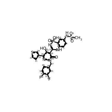 CS(=O)(=O)Nc1ccc2c(c1)P(=O)(O)N=C(c1c(O)c(-c3ccsc3)nn(Cc3ccc(F)c(F)c3)c1=O)N2